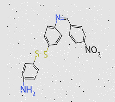 Nc1ccc(SSc2ccc(/N=C\c3ccc([N+](=O)[O-])cc3)cc2)cc1